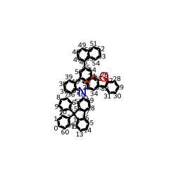 c1ccc(C2(c3ccccc3)c3ccccc3-c3ccc(N(c4ccc5oc6ccccc6c5c4)c4ccccc4-c4cccc(-c5cccc6ccccc56)c4)cc32)cc1